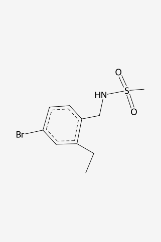 CCc1cc(Br)ccc1CNS(C)(=O)=O